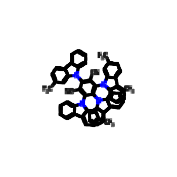 N#Cc1c(-n2c3ccccc3c3ccc(C(F)(F)F)cc32)c(C#N)c(-n2c3ccccc3c3ccc(C(F)(F)F)cc32)c(-n2c3ccccc3c3ccc(C(F)(F)F)cc32)c1-n1c2ccccc2c2ccc(C(F)(F)F)cc21